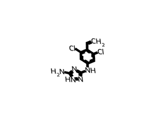 C=Cc1c(Cl)cc(Nc2n[nH]c(N)n2)cc1Cl